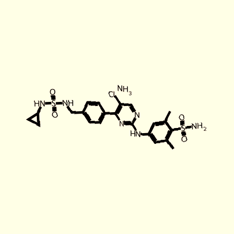 Cc1cc(Nc2ncc(Cl)c(-c3ccc(CNS(=O)(=O)NC4CC4)cc3)n2)cc(C)c1S(N)(=O)=O.N